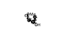 COC(=O)CCn1ccc(-c2ccc(CO)c(OC3CCCC3)c2)n1